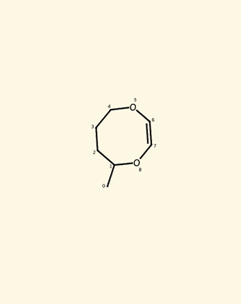 CC1CCCO/C=C\O1